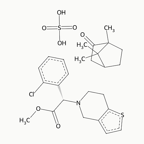 CC12CCC(CC1=O)C2(C)C.COC(=O)[C@H](c1ccccc1Cl)N1CCc2sccc2C1.O=S(=O)(O)O